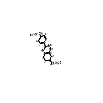 CCCCCCCC1CCc2nc(-c3ccc(CCCCC)cc3)ncc2C1